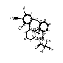 N#Cc1c(F)cc2c(c1Cl)N1CCC[C@@H](NC(=O)C(F)(F)F)[C@H]1c1c(F)cccc1O2